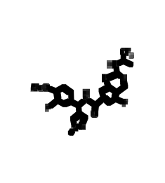 COc1ccc(C(NC(=O)c2cc(F)c3cnc(NC(C)C(F)(F)F)nc3c2)c2cnn(C)c2)cc1F